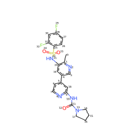 Cc1ncc(-c2ccnc(NC(=O)N3CCCC3)c2)cc1NS(=O)(=O)c1ccc(F)cc1F